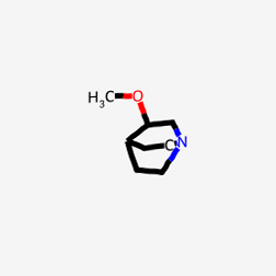 COC1CN2CCC1CC2